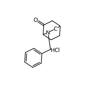 Cl.O=C1CC2CCC1N(Cc1ccccc1)C2